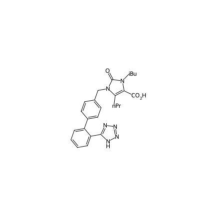 CCCc1c(C(=O)O)n(C(C)CC)c(=O)n1Cc1ccc(-c2ccccc2-c2nnn[nH]2)cc1